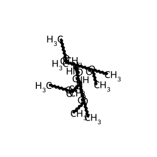 CCCCCCCCCCCOC(=O)C(C)(C)CCCCN(CCCCCCCC(=O)OC(CCCCCCCC)CCCCCCCC)CCNC(=O)CCC(=O)NCCN(CCCCCCCC(=O)OC(CCCCCCCC)CCCCCCCC)CCCCC(C)(C)C(=O)OCCCCCCCCCCC